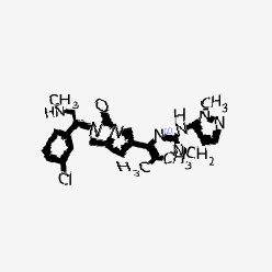 C=N/C(=N\C(=C(C)C)c1cc2n(c1)C(=O)N([C@H](CNC)c1cccc(Cl)c1)C2)Nc1ccnn1C